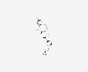 Cc1cc2n(n1)CC[C@H](NC(=O)c1ncn(CC3(C)CC3)n1)C(=O)N2C